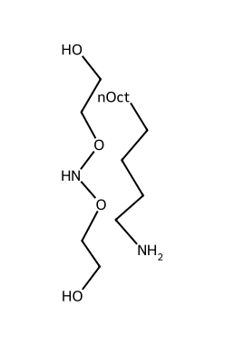 CCCCCCCCCCCCN.OCCONOCCO